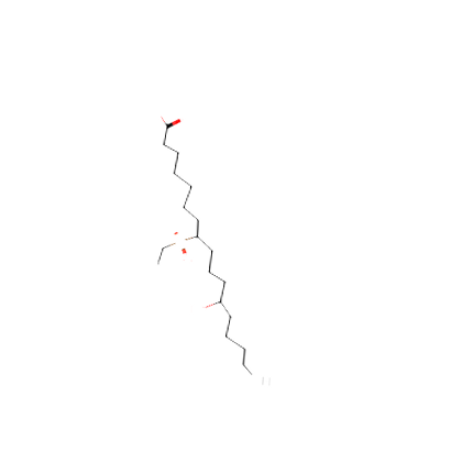 CCCCCC(O)CCCC(CCCCCCC(=O)O)S(=O)(=O)CC